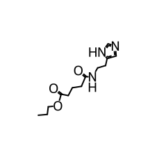 CCCOC(=O)CCCC(=O)NCCc1cnc[nH]1